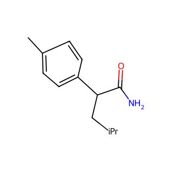 Cc1ccc(C(CC(C)C)C(N)=O)cc1